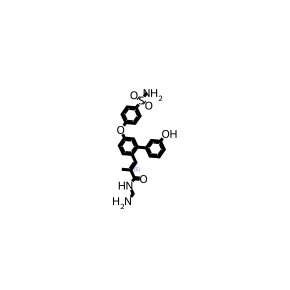 C/C(=C\c1ccc(Oc2ccc(S(N)(=O)=O)cc2)cc1-c1cccc(O)c1)C(=O)NCN